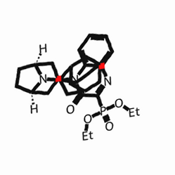 CCOP(=O)(OCC)c1nc2ccccc2n([C@H]2C[C@H]3CC[C@@H](C2)N3C23CC4CC(CC2C4)C3)c1=O